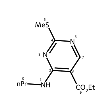 CCCNc1nc(SC)ncc1C(=O)OCC